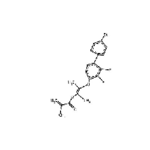 C=C(C)C(=O)O/C(C)=C(\C)Oc1ccc(-c2ccc(CC)cc2)c(F)c1F